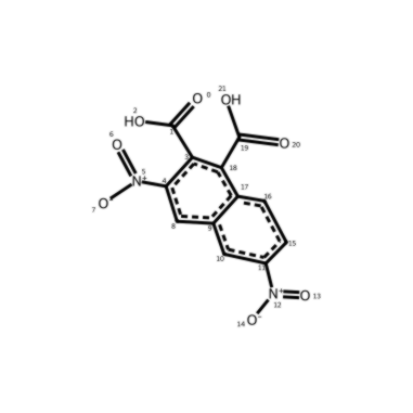 O=C(O)c1c([N+](=O)[O-])cc2cc([N+](=O)[O-])ccc2c1C(=O)O